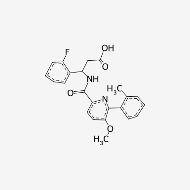 COc1ccc(C(=O)NC(CC(=O)O)c2ccccc2F)nc1-c1ccccc1C